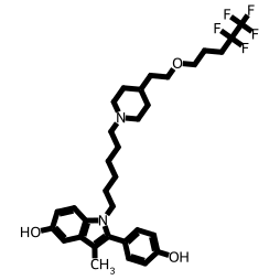 Cc1c(-c2ccc(O)cc2)n(CCCCCCN2CCC(CCOCCCC(F)(F)C(F)(F)F)CC2)c2ccc(O)cc12